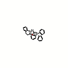 c1ccc([PH](Cc2cc3n(n2)-c2ccccc2CC3)(c2ccccc2)c2ccccc2)cc1